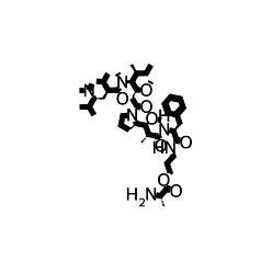 CC[C@H](C)[C@@H]([C@@H](CC(=O)N1CCC[C@H]1[C@H](OC)[C@@H](C)C(=O)N[C@@H](Cc1ccccc1)C(=O)NCCCOC(=O)[C@H](C)N)OC)N(C)C(=O)[C@@H](C[C@H](C(C)C)N(C)C)C(C)C